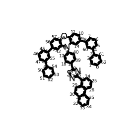 c1ccc(-c2cccc(-c3ccc4c(c3)N(c3ccc(-c5nc(-c6cccc7c6ccc6ccccc67)ns5)cc3)c3cc(-c5cccc(-c6ccccc6)c5)ccc3O4)c2)cc1